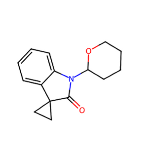 O=C1N(C2CCCCO2)c2ccccc2C12CC2